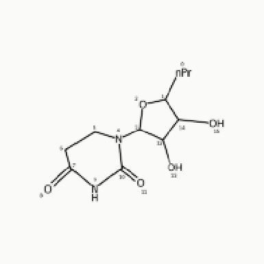 CCCC1OC(N2CCC(=O)NC2=O)C(O)C1O